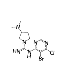 CN(C)C1CCN(C(=N)Nc2ncnc(Cl)c2Br)C1